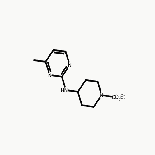 CCOC(=O)N1CCC(Nc2nccc(C)n2)CC1